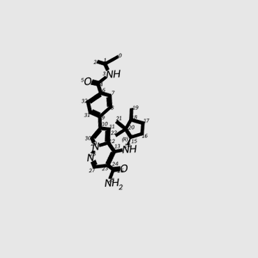 CC(C)NC(=O)c1ccc(-c2cc3c(N[C@@H]4CCC(C)C4(C)C)c(C(N)=O)cnn3c2)cc1